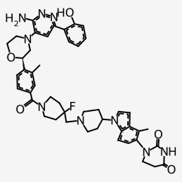 Cc1cc(C(=O)N2CCC(F)(CN3CCC(n4ccc5c(C)c(N6CCC(=O)NC6=O)ccc54)CC3)CC2)ccc1[C@@H]1CN(c2cc(-c3ccccc3O)nnc2N)CCO1